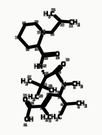 C/C(=C\[C@H](C(C)C)N(C)C(=O)[C@@H](NC(=O)C1CCCCN1CC(C)C)C(C)(C)C)C(=O)O